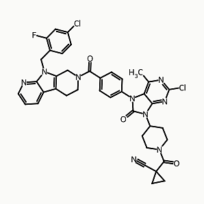 Cc1nc(Cl)nc2c1n(-c1ccc(C(=O)N3CCc4c(n(Cc5ccc(Cl)cc5F)c5ncccc45)C3)cc1)c(=O)n2C1CCN(C(=O)C2(C#N)CC2)CC1